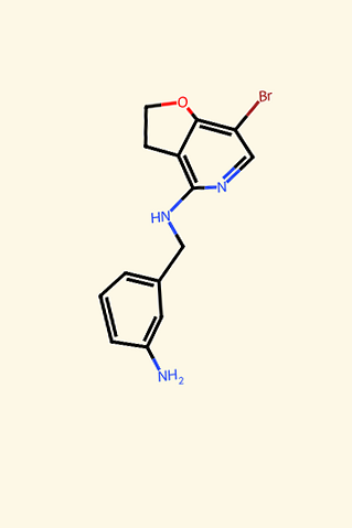 Nc1cccc(CNc2ncc(Br)c3c2CCO3)c1